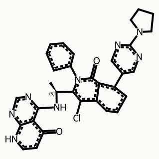 C[C@H](Nc1ncnc2[nH]ccc(=O)c12)c1c(Cl)c2cccc(-c3cnc(N4CCCC4)nc3)c2c(=O)n1-c1ccccc1